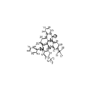 CC(C)(C)c1ccc2c(c1)N1c3cc(C(C)(C)C)ccc3-n3c(=O)c4ccccc4c4ccc(c1c43)N2c1ccccc1